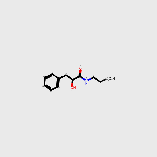 O=C(O)CCNC(=O)C(O)Cc1ccccc1